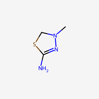 CN1CSC(N)=N1